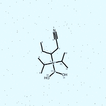 CCC(CC#N)[N+](C(C)C)(C(C)C)P(O)O